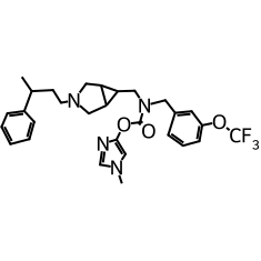 CC(CCN1CC2C(C1)C2CN(Cc1cccc(OC(F)(F)F)c1)C(=O)Oc1cn(C)cn1)c1ccccc1